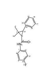 CC1(C)C(C(=O)Nc2ccc(F)cc2)C1c1ccccc1